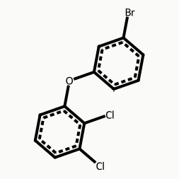 Clc1cccc(Oc2[c]ccc(Br)c2)c1Cl